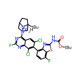 CC(C)(C)OC(=O)Nc1nc2c(-c3c(Cl)cc4c(N5CC6CCC(C(C)(C)C)(C5)N6C(=O)O)nc(F)nc4c3Cl)ccc(F)c2s1